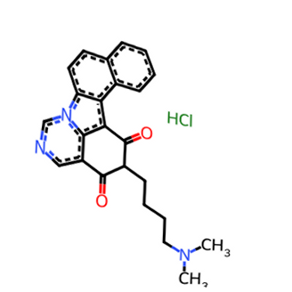 CN(C)CCCCC1C(=O)c2cncn3c2c(c2c4ccccc4ccc23)C1=O.Cl